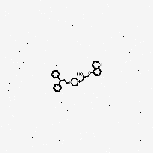 OC(COc1cccc2ncccc12)CN1CCN(CCC(c2ccccc2)c2ccccc2)CC1